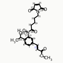 COC(=O)/C=C/c1ccc(C(C)C)c(N(C)C(=O)CCCCN2C(=O)C=CC2=O)c1